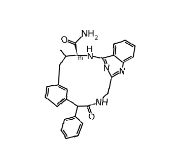 CC1Cc2cccc(c2)C(c2ccccc2)C(=O)NCc2nc(c3ccccc3n2)N[C@@H]1C(N)=O